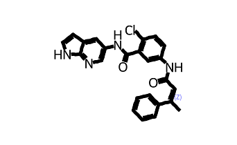 C/C(=C/C(=O)Nc1ccc(Cl)c(C(=O)Nc2cnc3[nH]ccc3c2)c1)c1ccccc1